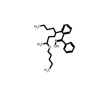 CCCCCOC(C)CCC(CCCC)c1ccccc1C(=NO)c1ccccc1